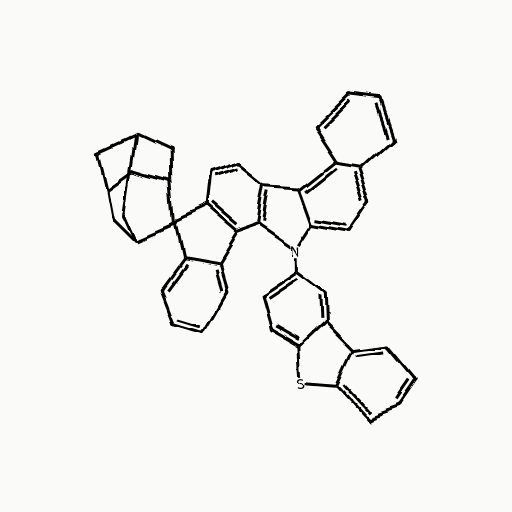 c1ccc2c(c1)-c1c(ccc3c4c5ccccc5ccc4n(-c4ccc5sc6ccccc6c5c4)c13)C21C2CC3CC(C2)CC1C3